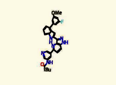 COc1cc(F)cc(-c2cccc3[nH]c(-c4n[nH]c5ccc(-c6cncc(NC(=O)C(C)(C)C)c6)nc45)cc23)c1